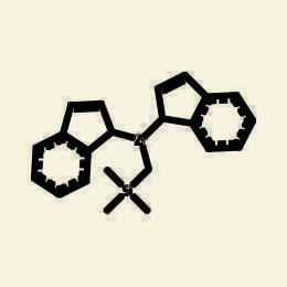 C[Si](C)(C)[CH2][Zr]([CH]1C=Cc2ccccc21)[CH]1C=Cc2ccccc21